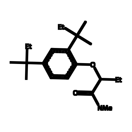 CCC(Oc1ccc(C(C)(C)CC)cc1C(C)(C)CC)C(=O)NC